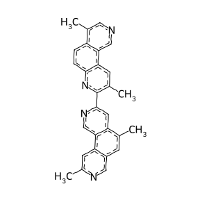 Cc1cc2c(cn1)cc(C)c1cc(-c3nc4ccc5c(C)cncc5c4cc3C)ncc12